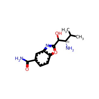 CC(C)[C@H](N)C(O)c1nc2cc(C(N)=O)ccc2o1